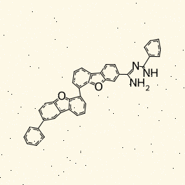 N=C(/N=C(\N)c1ccc2c(c1)oc1c(-c3cccc4c3oc3ccc(-c5ccccc5)cc34)cccc12)c1ccccc1